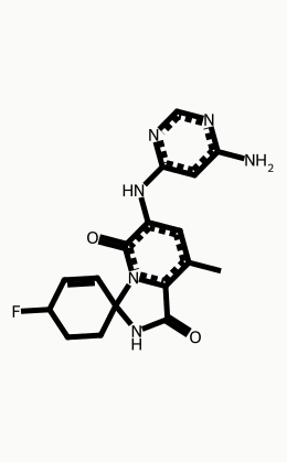 Cc1cc(Nc2cc(N)ncn2)c(=O)n2c1C(=O)NC21C=CC(F)CC1